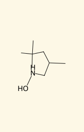 CC(CNO)CC(C)(C)C